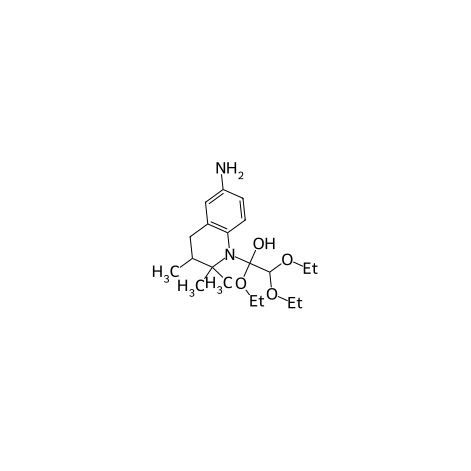 CCOC(OCC)C(O)(OCC)N1c2ccc(N)cc2CC(C)C1(C)C